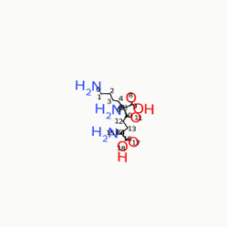 NCCCC[C@](N)(C(=O)O)C(=O)CC[C@H](N)C(=O)O